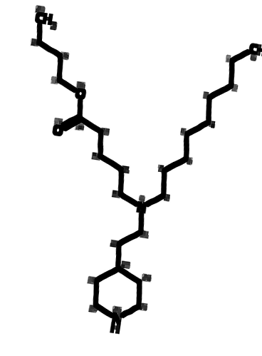 CCCCCCCCCN(CCCCC(=O)OCCCC)CCC1CCNCC1